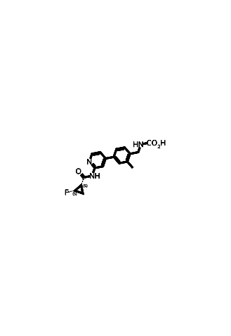 Cc1cc(-c2ccnc(NC(=O)[C@@H]3C[C@@H]3F)c2)ccc1CNC(=O)O